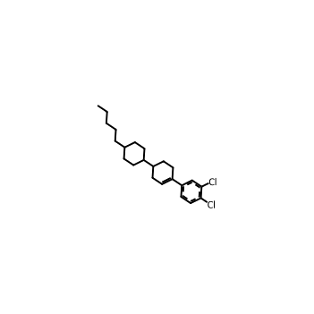 CCCCCC1CCC(C2CC=C(c3ccc(Cl)c(Cl)c3)CC2)CC1